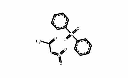 NC(=O)N=S(=O)=O.O=S(=O)(c1ccccc1)c1ccccc1